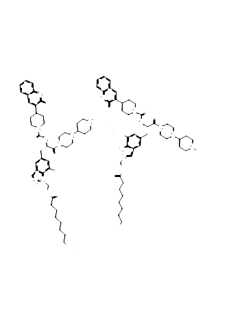 CCCCCCCCC(=O)OCn1cc2cc(C[C@@H](NC(=O)N3CCC(c4cc5ccccc5[nH]c4=O)CC3)C(=O)N3CCN(C4CCN(C)CC4)CC3)cc(C)c2n1.CCCCCCCCC(=O)OCn1ncc2cc(C[C@@H](NC(=O)N3CCC(c4cc5ccccc5[nH]c4=O)CC3)C(=O)N3CCN(C4CCN(C)CC4)CC3)cc(C)c21